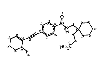 O=C(O)CCC1(CNC(=O)c2ccc(C#CC3=CCCCC3F)cc2)CCCCC1